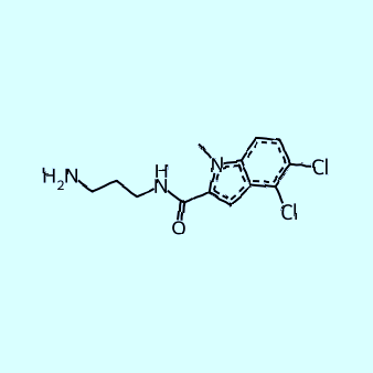 Cn1c(C(=O)NCCCN)cc2c(Cl)c(Cl)ccc21